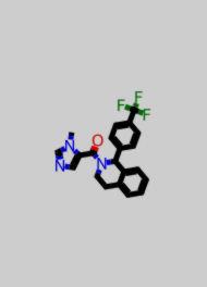 Cn1cncc1C(=O)N1CCc2ccccc2C1c1ccc(C(F)(F)F)cc1